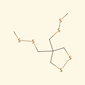 CSSCC1(CSSC)CSSC1